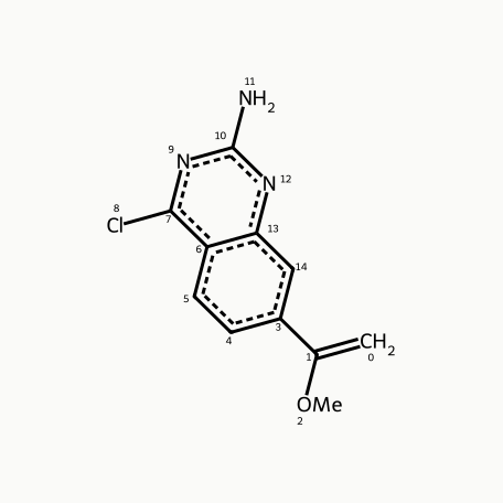 C=C(OC)c1ccc2c(Cl)nc(N)nc2c1